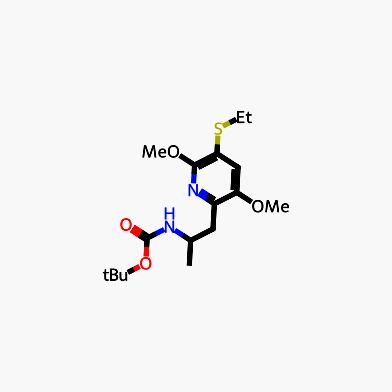 CCSc1cc(OC)c(CC(C)NC(=O)OC(C)(C)C)nc1OC